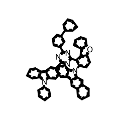 c1ccc(-c2cccc(-c3nc(-c4ccc5c(c4)c4ccccc4n5-c4ccccc4)nc(-c4c(-n5c6ccccc6c6cc7ccccc7cc65)ccc5oc6ccccc6c45)n3)c2)cc1